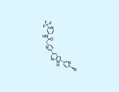 N#Cc1ccc(-c2cc3cc(-c4ccc(CC(=O)Nc5ccnc(C(F)(F)F)c5)nc4)cnc3[nH]2)cn1